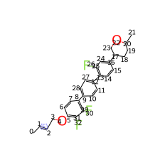 C/C=C/COc1ccc(-c2ccc(-c3ccc(C4CCC(C)OC4)cc3F)cc2)c(F)c1F